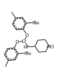 Cc1ccc([O][Cr]([O]c2ccc(C)cc2C(C)(C)C)[PH]C2CCCCC2)c(C(C)(C)C)c1.Cl